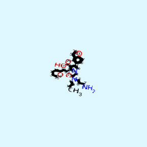 CCCCN(CCCN)C(=O)CN1C[C@H](c2ccc3c(c2)CCO3)[C@@H](C(=O)O)[C@@H]1CCC1CCCCO1